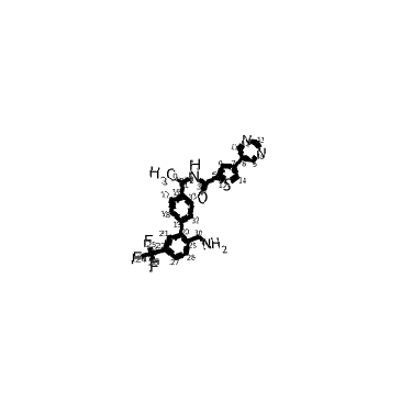 C[C@@H](NC(=O)c1cc(-c2cncnc2)cs1)c1ccc(-c2cc(C(F)(F)F)ccc2CN)cc1